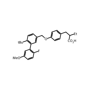 CCC(Cc1ccc(OCc2ccc(C(C)(C)C)c(-c3cc(OC)ccc3F)c2)cc1)C(=O)O